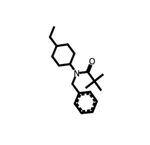 CCC1CCC(N(Cc2ccccc2)C(=O)C(C)(C)C)CC1